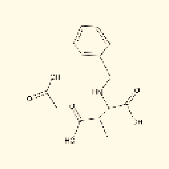 CC(=O)O.CC(C(=O)O)C(NCc1ccccc1)C(=O)O